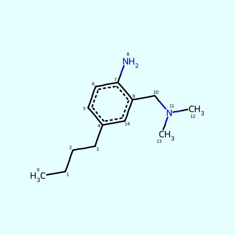 CCCCc1ccc(N)c(CN(C)C)c1